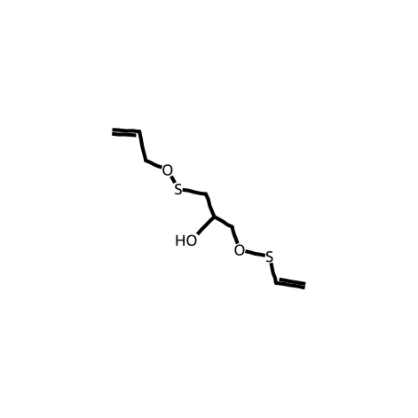 C=CCOSCC(O)COSC=C